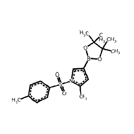 Cc1ccc(S(=O)(=O)n2cc(B3OC(C)(C)C(C)(C)O3)cc2C(F)(F)F)cc1